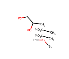 CC(=O)O.CC(O)CO.CCOC(C)=O.CCOCC